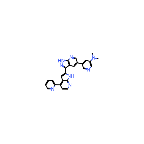 CN(C)c1cncc(-c2cnc3[nH]nc(-c4cc5c(-c6ccccn6)ccnc5[nH]4)c3c2)c1